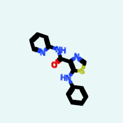 O=C(Nc1ccccn1)c1ncsc1Nc1ccccc1